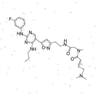 CCCNc1nc(Nc2cccc(F)c2)ncc1-c1cc(CCNC(=O)CN(C)C(=O)/C=C/CN(C)C)no1